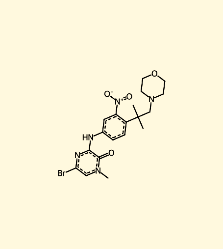 Cn1cc(Br)nc(Nc2ccc(C(C)(C)CN3CCOCC3)c([N+](=O)[O-])c2)c1=O